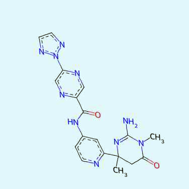 CN1C(=O)CC(C)(c2cc(NC(=O)c3cnc(-n4nccn4)cn3)ccn2)N=C1N